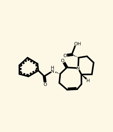 O=C(N[C@H]1CC=CC[C@H]2CCC[C@@H](C(=O)O)N2C1=O)c1ccccc1